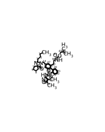 CCCCC1=NC2(CCCC2)C(=O)N1Cc1ccc(-c2ccccc2S(=O)(=O)Nc2noc(C)c2C)c(CCNC(=O)OCC(C)C)c1